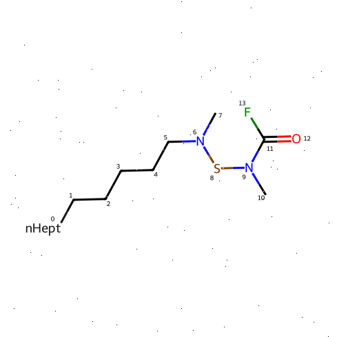 CCCCCCCCCCCCN(C)SN(C)C(=O)F